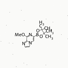 COc1nc(B2OC(C)(C)C(C)(C)O2)cn2ccnc12